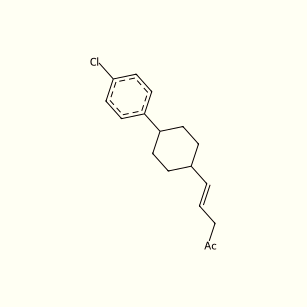 CC(=O)CC=CC1CCC(c2ccc(Cl)cc2)CC1